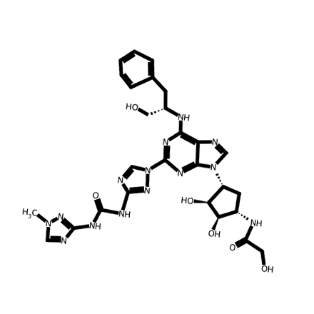 Cn1cnc(NC(=O)Nc2ncn(-c3nc(N[C@H](CO)Cc4ccccc4)c4ncn([C@@H]5C[C@H](NC(=O)CO)[C@@H](O)[C@H]5O)c4n3)n2)n1